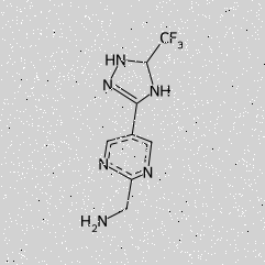 NCc1ncc(C2=NNC(C(F)(F)F)N2)cn1